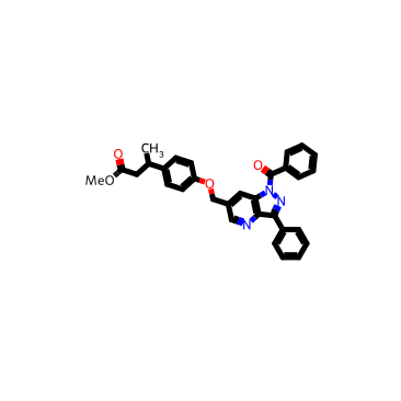 COC(=O)CC(C)c1ccc(OCc2cnc3c(-c4ccccc4)nn(C(=O)c4ccccc4)c3c2)cc1